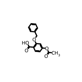 CC(=O)Oc1ccc(C(=O)O)c(OCc2ccccc2)c1